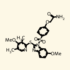 COc1ccc2nc(Sc3ncc(C)c(OC)c3C)n(S(=O)(=O)c3ccc(OCC(N)=O)cc3)c2c1